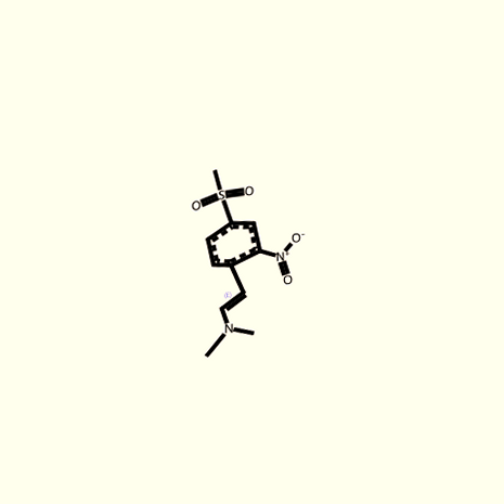 CN(C)/C=C/c1ccc(S(C)(=O)=O)cc1[N+](=O)[O-]